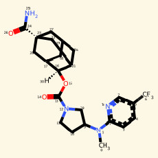 CN(c1ccc(C(F)(F)F)cn1)C1CCN(C(=O)O[C@H]2C3CC4CC2C[C@](C(N)=O)(C4)C3)C1